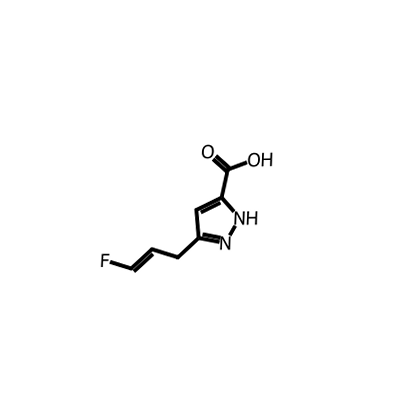 O=C(O)c1cc(CC=CF)n[nH]1